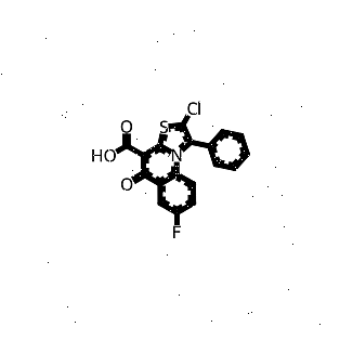 O=C(O)c1c(=O)c2cc(F)ccc2n2c(-c3ccccc3)c(Cl)sc12